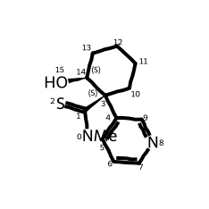 CNC(=S)[C@]1(c2cccnc2)CCCC[C@@H]1O